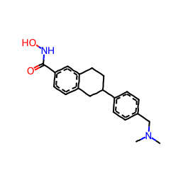 CN(C)Cc1ccc(C2CCc3cc(C(=O)NO)ccc3C2)cc1